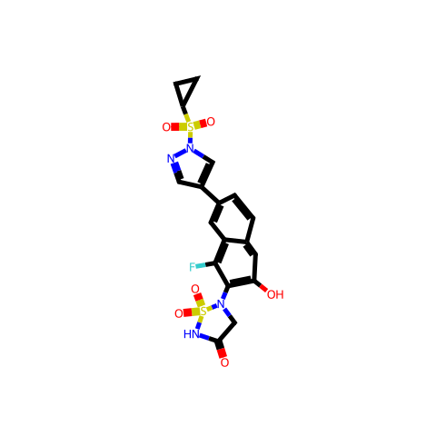 O=C1CN(c2c(O)cc3ccc(-c4cnn(S(=O)(=O)C5CC5)c4)cc3c2F)S(=O)(=O)N1